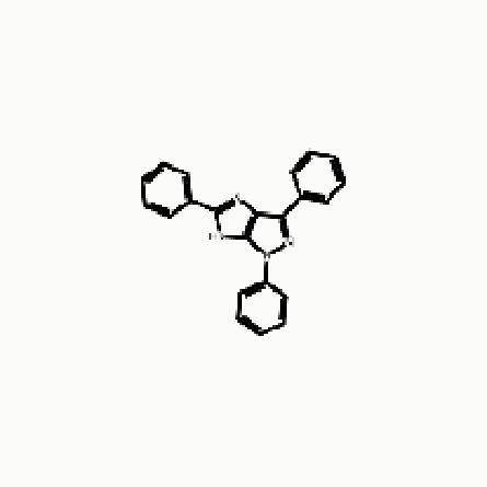 c1ccc(-c2nc3c(-c4ccccc4)nn(-c4ccccc4)c3[nH]2)cc1